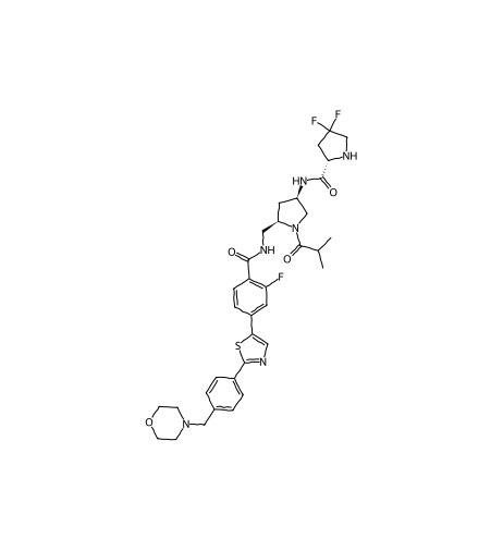 CC(C)C(=O)N1C[C@H](NC(=O)[C@@H]2CC(F)(F)CN2)C[C@@H]1CNC(=O)c1ccc(-c2cnc(-c3ccc(CN4CCOCC4)cc3)s2)cc1F